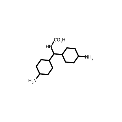 NC1CCC(C(NC(=O)O)C2CCC(N)CC2)CC1